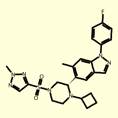 Cc1cc2c(cnn2-c2ccc(F)cc2)cc1[C@H]1CN(S(=O)(=O)c2cnn(C)n2)CCN1C1CCC1